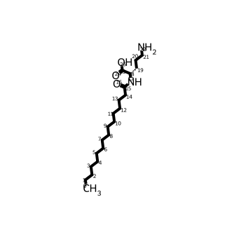 CCCCCCCCCCCCCCCC(=O)N[C@@H](CCCN)C(=O)O